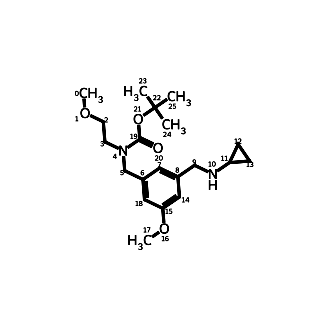 COCCN(Cc1cc(CNC2CC2)cc(OC)c1)C(=O)OC(C)(C)C